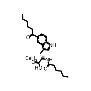 CCCCCC(=O)N[C@@H](Cc1c[nH]c2ccc(C(=O)CCCCC)cc12)C(=O)O.[CaH2]